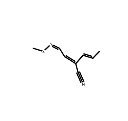 C/C=C/C(C#N)=C\C=N/SC